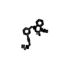 CC(=O)N1c2ccccc2N(Cc2cccc(C#CCN)c2)C[C@@H]1C